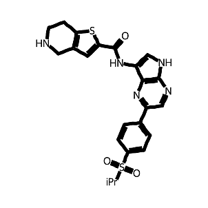 CC(C)S(=O)(=O)c1ccc(-c2cnc3[nH]cc(NC(=O)c4cc5c(s4)CCNC5)c3n2)cc1